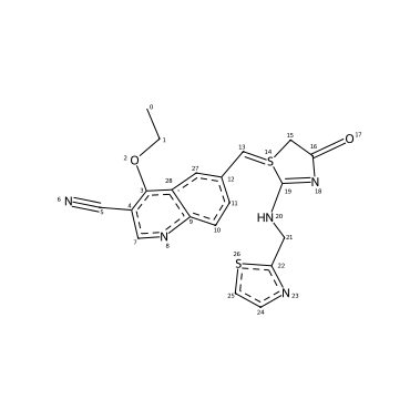 CCOc1c(C#N)cnc2ccc(/C=S3/CC(=O)N=C3NCc3nccs3)cc12